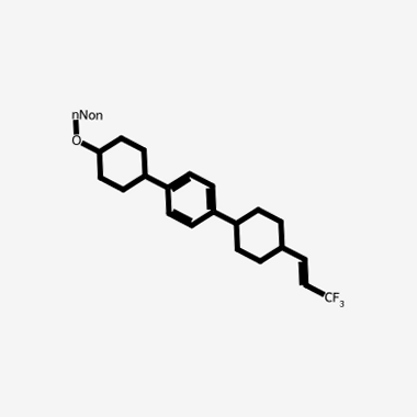 CCCCCCCCCOC1CCC(c2ccc(C3CCC(C=CC(F)(F)F)CC3)cc2)CC1